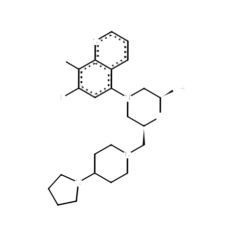 Cc1c(F)cc(N2C[C@H](CN3CCC(N4CCCC4)CC3)O[C@H](C)C2)c2cccnc12